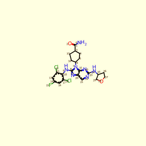 NC(=O)C1CCC(n2c(Nc3c(Cl)cc(F)cc3Cl)nc3cnc(NC4CCOC4)nc32)CC1